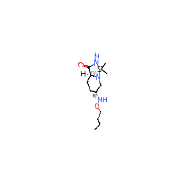 CCCCON[C@@H]1CC[C@H]2C(=O)N[Si](C)(C)N2C1